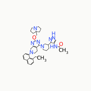 CCc1cccc2cccc(N3CCc4c(nc(OCC56CCCN5CCC6)nc4N4CCCC(c5n[nH]cc5NC(C)=O)C4)C3)c12